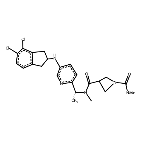 CNC(=O)N1CC(C(=O)N(C)[C@@H](c2ccc(NC3Cc4ccc(Cl)c(Cl)c4C3)cn2)C(F)(F)F)C1